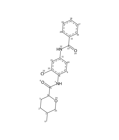 CC1CCC(C(=O)Nc2ccc(NC(=O)c3ccccc3)cc2Cl)OC1